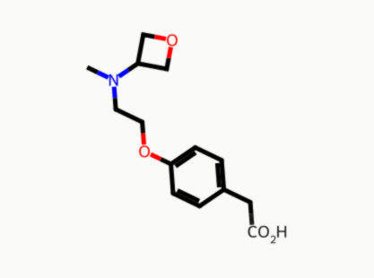 CN(CCOc1ccc(CC(=O)O)cc1)C1COC1